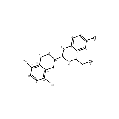 OCCNC(Sc1ccc(Cl)cc1)C1COc2c(F)ccc(F)c2C1